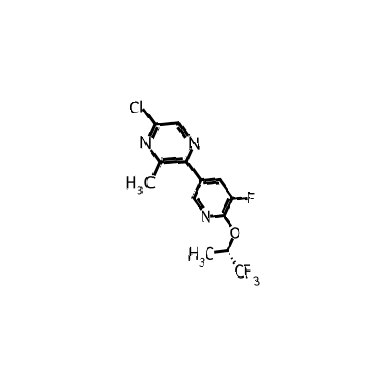 Cc1nc(Cl)cnc1-c1cnc(O[C@@H](C)C(F)(F)F)c(F)c1